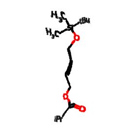 CC(C)C(=O)OC/C=C/CO[Si](C)(C)C(C)(C)C